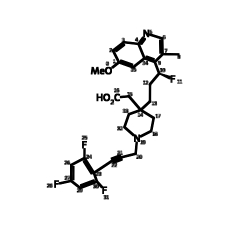 COc1ccc2ncc(C)c([C@@H](F)CCC3(CC(=O)O)CCN(CC#Cc4c(F)cc(F)cc4F)CC3)c2c1